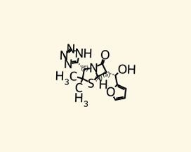 CC1(C)S[C@@H]2[C@@H](C(O)c3ccco3)C(=O)N2[C@H]1c1nnn[nH]1